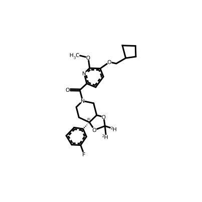 [2H]C1([2H])OC2CN(C(=O)c3ccc(OCC4CCC4)c(OC)n3)CC[C@]2(c2cccc(F)c2)O1